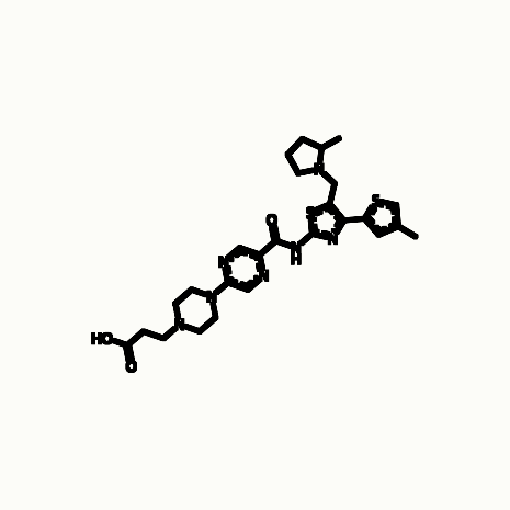 Cc1csc(-c2nc(NC(=O)c3cnc(N4CCN(CCC(=O)O)CC4)cn3)sc2CN2CCCC2C)c1